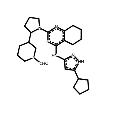 O=CN1CCCC(C2CCCN2c2nc3c(c(Nc4cc(C5CCCC5)[nH]n4)n2)CCCC3)C1